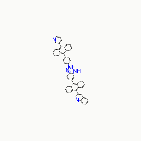 N=C1C=C(c2c3ccccc3c(-c3cnc4ccccc4c3)c3ccccc23)C=C/C1=N/Nc1ccc(-c2c3ccccc3c(-c3cccnc3)c3ccccc23)cc1